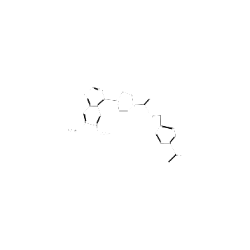 C=C(C)c1ccc(CNC(=S)N2CCN(c3ncnc4cc(OC)c(OC)cc34)CC2)cc1